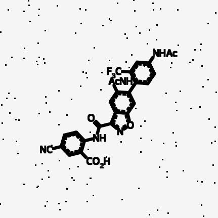 CC(=O)Nc1ccc(-c2cc3onc(C(=O)Nc4ccc(C#N)cc4C(=O)O)c3cc2NC(C)=O)c(C(F)(F)F)c1